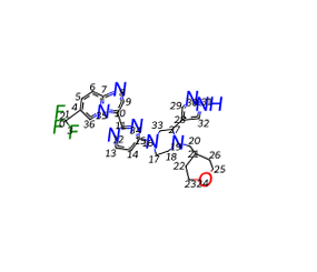 FC(F)(F)c1ccc2ncc(-c3nccc(N4CCN(CC5CCOCC5)C(c5cn[nH]c5)C4)n3)n2c1